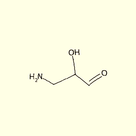 NCC(O)C=O